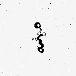 C=C(CC=Cc1ccccc1)C(=O)OCC1CC2CCC1O2